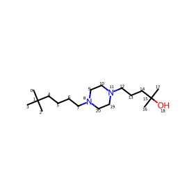 CC(C)(C)CCCCN1CCN(CCCC(C)(C)O)CC1